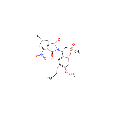 CCOc1cc(C(CS(C)(=O)=O)N2C(=O)c3cc(I)cc([N+](=O)[O-])c3C2=O)ccc1OC